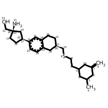 C=C1CC(C)CC(CCSC[C@@H]2CCc3cc([C@H]4CC[C@](N)(CO)C4)ccc3C2)C1